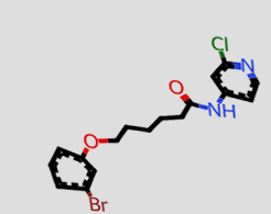 O=C(CCCCCOc1cccc(Br)c1)Nc1ccnc(Cl)c1